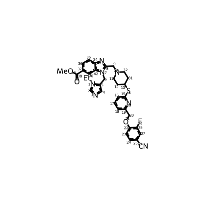 CCn1cncc1Cn1c(CN2CCC(Sc3cccc(COc4ccc(C#N)cc4F)n3)CC2)nc2ccc(C(=O)OC)cc21